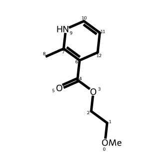 COCCOC(=O)C1=C(C)NC=CC1